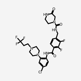 O=C1CN(C(=O)NCc2ccc(C(=O)Nc3ccc(Cl)cc3N3CCN(CCC(F)(F)F)CC3)c(F)c2F)CCN1